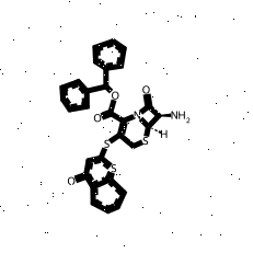 N[C@@H]1C(=O)N2C(C(=O)OC(c3ccccc3)c3ccccc3)=C(Sc3cc(=O)c4ccccc4s3)CS[C@H]12